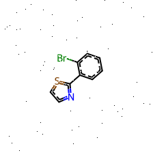 Brc1[c]cccc1-c1nccs1